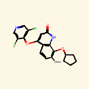 COc1ccc2c(Oc3c(Cl)cncc3Cl)cc(=O)[nH]c2c1OC1CCCC1